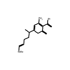 C=C1CC(C(C)CC/C=C/NC)=CC(P)=C1C(=C)C(C)C